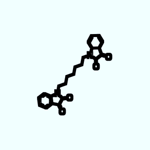 O=C1C(=O)N(CCCCCCCN2C(=O)C(=O)C3C=CC=CC32)c2ccccc21